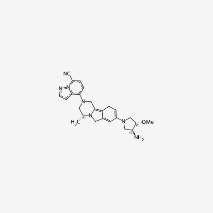 CO[C@H]1CN(C2=CCC3=C4CN(c5ccc(C#N)n6nccc56)C[C@@H](C)N4CC3=C2)C[C@@H]1N